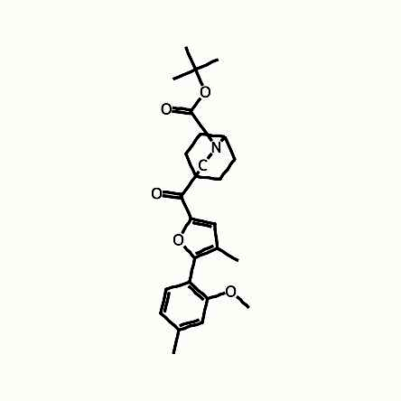 COc1cc(C)ccc1-c1oc(C(=O)C23CCC(CC2)N(C(=O)OC(C)(C)C)C3)cc1C